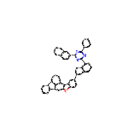 c1ccc(-c2nc(-c3ccc4ccccc4c3)nc(-c3cccc4cc(-c5ccc6oc7cc8c9c(cccc9c7c6c5)-c5ccccc5-8)ccc34)n2)cc1